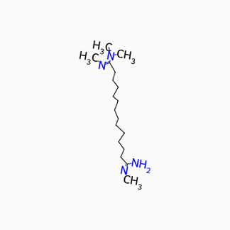 CN=C(N)CCCCCCCCCCCCC(=NC)N(C)C